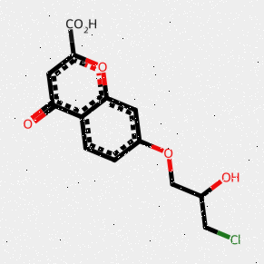 O=C(O)c1cc(=O)c2ccc(OCC(O)CCl)cc2o1